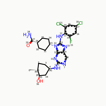 C[C@@H]1CC[C@@H](Nc2ncc3nc(Nc4c(F)cc(Cl)cc4Cl)n([C@H]4CC[C@@H](C(N)=O)CC4)c3n2)C[C@H]1O